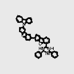 C1=CC2c3ccccc3N(c3ccc4sc5ccc(-c6ccc7c(c6)oc6c(C8NC(c9ccccc9)NC(c9ccccc9)N8)cccc67)cc5c4c3)C2C=C1